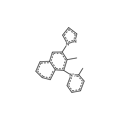 Cc1c(-n2cccn2)cc2ccccc2c1-[n+]1ccccc1C